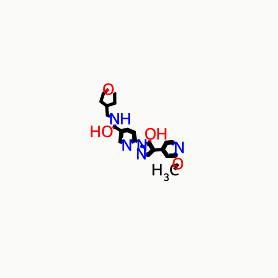 COc1cc(-c2cnn(-c3ccc(C(O)NCC4CCOCC4)cn3)c2O)ccn1